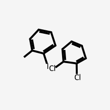 Cc1ccccc1I.Clc1ccccc1Cl